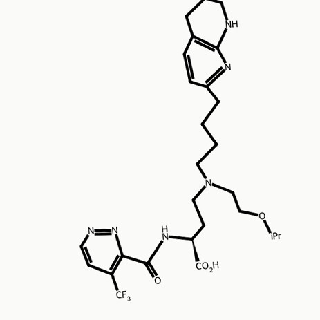 CC(C)OCCN(CCCCc1ccc2c(n1)NCCC2)CC[C@H](NC(=O)c1nnccc1C(F)(F)F)C(=O)O